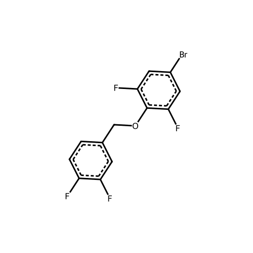 Fc1ccc(COc2c(F)cc(Br)cc2F)cc1F